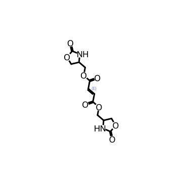 O=C(/C=C/C(=O)OCC1COC(=O)N1)OCC1COC(=O)N1